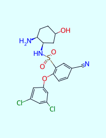 N#Cc1ccc(Oc2cc(Cl)cc(Cl)c2)c(S(=O)(=O)N[C@@H]2CC(O)CC[C@@H]2N)c1